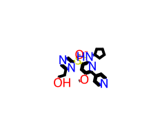 COc1cc([S+]([O-])c2cncc(CCO)n2)c(NC2CCCC2)nc1-c1ccncc1